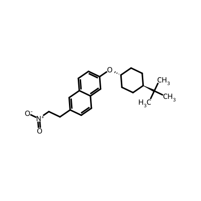 CC(C)(C)[C@H]1CC[C@H](Oc2ccc3cc(CC[N+](=O)[O-])ccc3c2)CC1